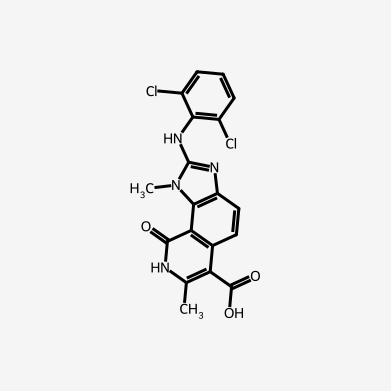 Cc1[nH]c(=O)c2c(ccc3nc(Nc4c(Cl)cccc4Cl)n(C)c32)c1C(=O)O